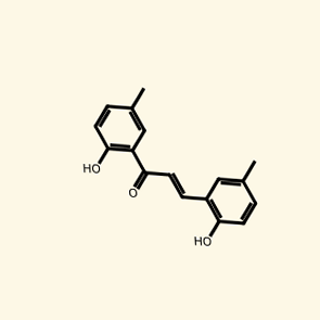 Cc1ccc(O)c(C=CC(=O)c2cc(C)ccc2O)c1